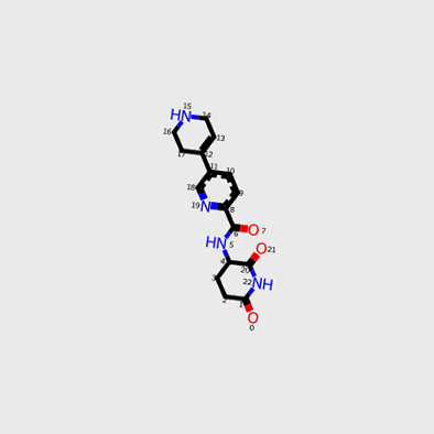 O=C1CCC(NC(=O)c2ccc(C3=CCNCC3)cn2)C(=O)N1